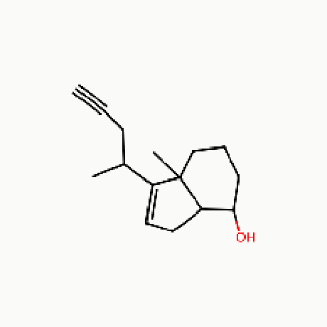 C#CCC(C)C1=CCC2C(O)CCCC12C